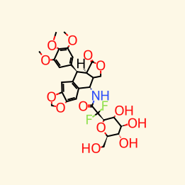 COc1cc([C@@H]2c3cc4c(cc3[C@@H](NC(=O)C(F)(F)[C@@H]3O[C@H](CO)[C@@H](O)[C@H](O)[C@H]3O)C3COC(=O)[C@@H]32)OCO4)cc(OC)c1OC